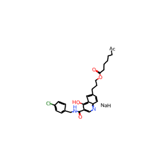 CC(=O)CCCCCC(=O)OCCCc1ccc2ncc(C(=O)NCc3ccc(Cl)cc3)c(O)c2c1.[NaH]